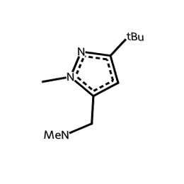 CNCc1cc(C(C)(C)C)nn1C